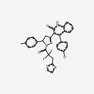 Cc1ccc(C2CC(c3c(-c4ccc(Cl)cc4)c4ccccc4[nH]c3=O)=NN2C(=O)C(F)(F)Cc2nccs2)cc1